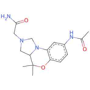 CC(=O)Nc1ccc2c(c1)N1CN(CC(N)=O)CC1C(C)(C)O2